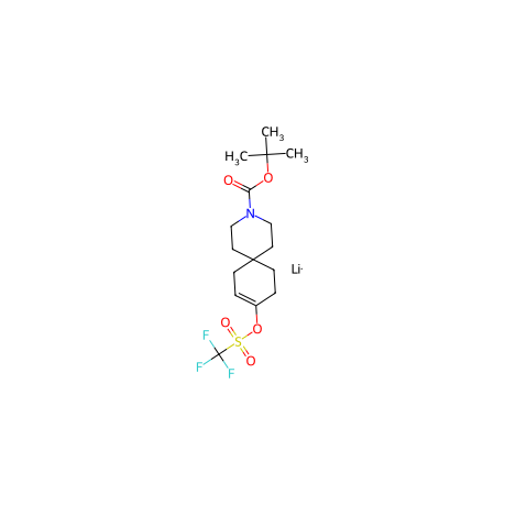 CC(C)(C)OC(=O)N1CCC2(CC=C(OS(=O)(=O)C(F)(F)F)CC2)CC1.[Li]